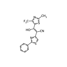 Cc1nc(C(F)(F)F)c(C(O)=C(C#N)c2csc(-c3ccccc3)n2)s1